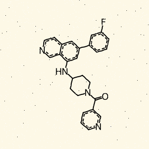 O=C(c1cccnc1)N1CCC(Nc2cc(-c3cccc(F)c3)cc3ccncc23)CC1